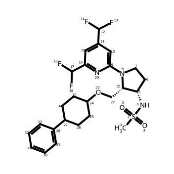 CS(=O)(=O)N[C@H]1CCN(c2cc(C(F)F)cc(C(F)F)n2)[C@H]1COC1CCC(c2ccccc2)CC1